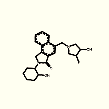 O=C1c2cc(CN3CC(O)C(F)C3)c3ccccc3c2CN1C1CCCCC1O